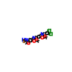 CC1Oc2ccc(CN(Cc3cccc(CN(Cc4ccc(Cl)c(Cl)c4)C(=O)OC(C)(C)C)c3)C(=O)OC(C)(C)C)cc2NC1=S